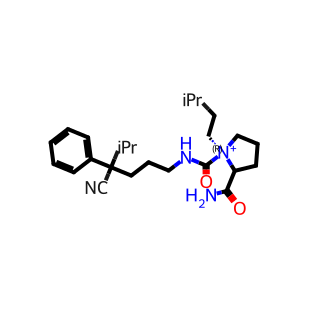 CC(C)CC[N@+]1(C(=O)NCCCC(C#N)(c2ccccc2)C(C)C)CCCC1C(N)=O